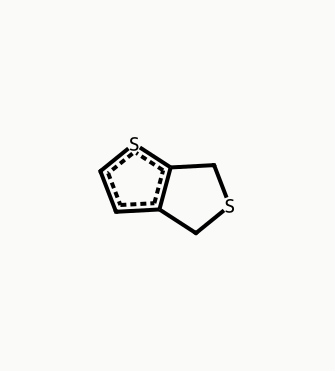 c1cc2c(s1)CSC2